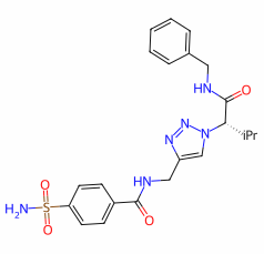 CC(C)[C@@H](C(=O)NCc1ccccc1)n1cc(CNC(=O)c2ccc(S(N)(=O)=O)cc2)nn1